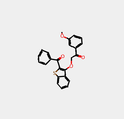 COc1cccc(C(=O)COc2c(C(=O)c3ccccc3)sc3ccccc23)c1